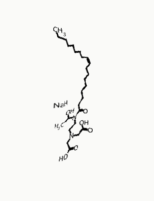 CCCCCCCC/C=C\CCCCCCCC(=O)N(CCN(CC(=O)O)CC(=O)O)C(C)O.[NaH]